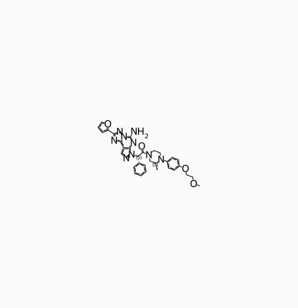 COCCOc1ccc(N2CCN(C(=O)[C@H](c3ccccc3)n3ncc4c3nc(N)n3nc(-c5ccco5)nc43)C[C@@H]2C)cc1